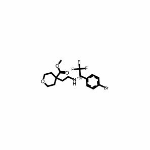 COC(=O)C1(CCN[C@@H](c2ccc(Br)cc2)C(F)(F)F)CCOCC1